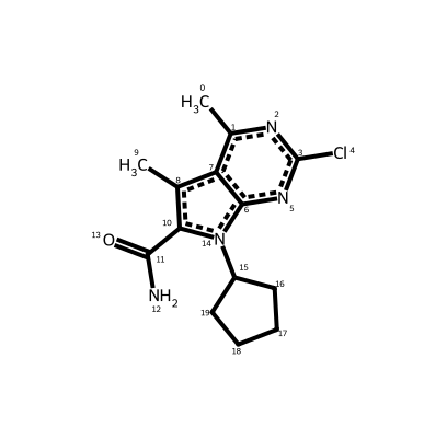 Cc1nc(Cl)nc2c1c(C)c(C(N)=O)n2C1CCCC1